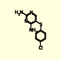 Nc1ncc(Sc2ccc(Cl)cc2)c(N)n1